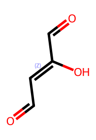 O=C/C=C(\O)C=O